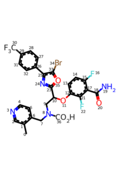 Cc1cnccc1CN(CC(Oc1ccc(F)c(C(N)=O)c1F)c1nc(-c2ccc(C(F)(F)F)cc2)c(Br)o1)C(=O)O